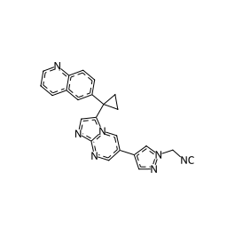 [C-]#[N+]Cn1cc(-c2cnc3ncc(C4(c5ccc6ncccc6c5)CC4)n3c2)cn1